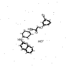 Cl.O=C(COc1cccc(Cl)c1)N[C@H]1CC[C@@H](Nc2ccc3ccccc3n2)CC1